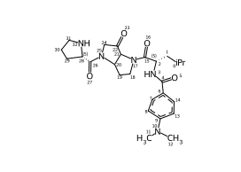 CC(C)C[C@H](NC(=O)c1ccc(N(C)C)cc1)C(=O)N1CCC2C1C(=O)CN2C(=O)[C@@H]1CCCN1